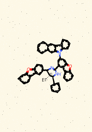 CC[C@@H]1C(c2ccc3oc4ccccc4c3c2)N=C(c2cc(-n3c4ccccc4c4cc5ccccc5cc43)cc3oc4ccccc4c23)NC1c1ccccc1